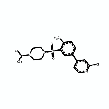 CCC(O)N1CCN(S(=O)(=O)c2cc(-c3ccnc(Cl)c3)ccc2C)CC1